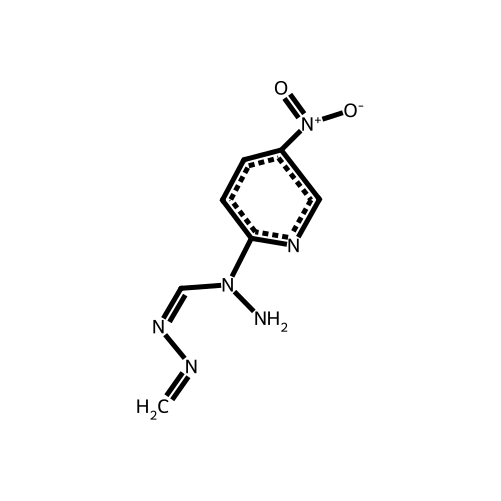 C=N/N=C\N(N)c1ccc([N+](=O)[O-])cn1